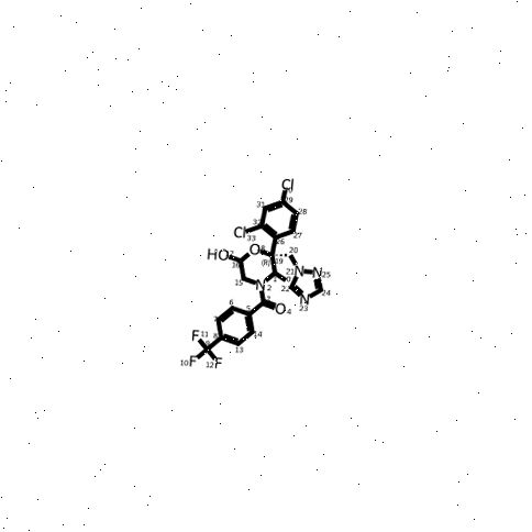 CC1N(C(=O)c2ccc(C(F)(F)F)cc2)CC(O)O[C@@]1(Cn1cncn1)c1ccc(Cl)cc1Cl